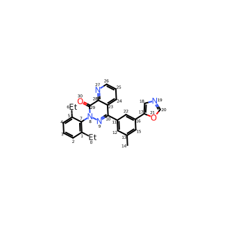 CCc1cccc(CC)c1-n1nc(-c2cc(C)cc(-c3cnco3)c2)c2cccnc2c1=O